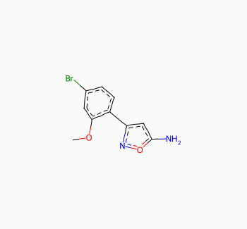 COc1cc(Br)ccc1-c1cc(N)on1